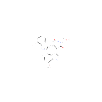 CCn1cc(C2=C(c3c[nH]c4c(Br)cccc34)C(=O)N(CO)C2=O)c2cccc(Br)c21